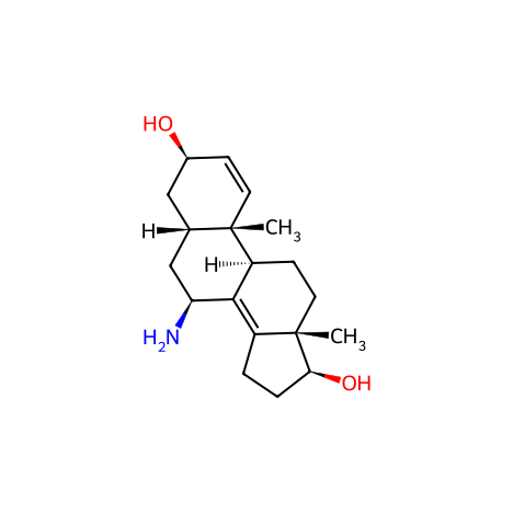 C[C@]12C=C[C@H](O)C[C@H]1C[C@H](N)C1=C3CC[C@H](O)[C@@]3(C)CC[C@@H]12